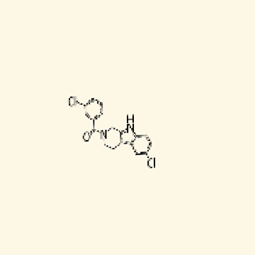 O=C(c1cccc(Cl)c1)N1CCc2c([nH]c3ccc(Cl)cc23)C1